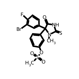 CN1C(=S)NC(=O)C1(c1cccc(OS(C)(=O)=O)c1)c1ccc(F)c(Br)c1